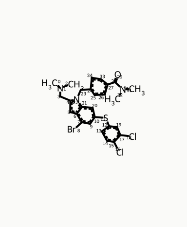 CN(C)Cc1cc2c(Br)cc(Sc3ccc(Cl)c(Cl)c3)cc2n1Cc1ccc(C(=O)N(C)C)cc1